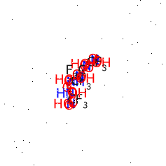 CC(c1ccc2c(c1)C(=O)N(c1cc(C(C)(c3ccc(O)c(NC(=O)c4ccc(Oc5ccc(C(=O)Nc6cc(C(C)(c7ccc(O)c(N8C(=O)C9C%10C=CC(C%10)C9C8=O)c7)C(F)(F)F)ccc6O)cc5)cc4)c3)C(F)(F)F)ccc1O)C2=O)(c1ccc2c(c1)C(=O)N(c1cc(C(C)(c3ccc(O)c(N4C(=O)C5C6C=CC(C6)C5C4=O)c3)C(F)(F)F)ccc1O)C2=O)C(F)(F)F